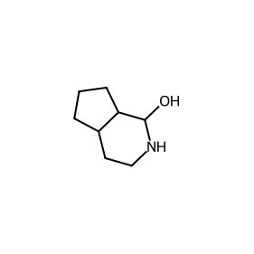 OC1NCCC2CCCC21